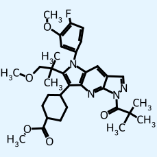 COCC(C)(C)c1c(C2CCC(C(=O)OC)CC2)c2nc3c(cnn3C(=O)C(C)(C)C)cc2n1-c1ccc(F)c(OC)c1